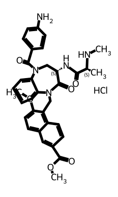 CN[C@@H](C)C(=O)N[C@H]1CN(C(=O)c2ccc(N)cc2)c2ccccc2N(Cc2c(OC)ccc3cc(C(=O)OC)ccc23)C1=O.Cl